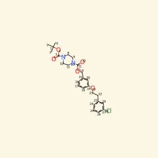 CC(C)(C)OC(=O)N1CCN(C(=O)OCc2cccc(OCCc3cccc(Cl)c3)c2)CC1